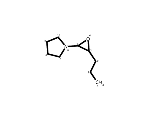 CCCC1OC1N1CCCC1